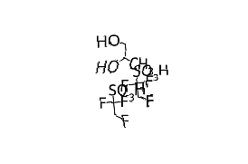 CC(O)CO.O=S(=O)(O)C(F)(F)CF.O=S(=O)(O)C(F)(F)CF